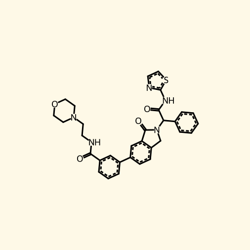 O=C(NCCN1CCOCC1)c1cccc(-c2ccc3c(c2)C(=O)N(C(C(=O)Nc2nccs2)c2ccccc2)C3)c1